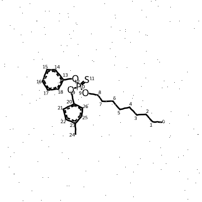 CCCCCCCCCOP(=S)(Oc1ccccc1)Oc1ccc(C)cc1